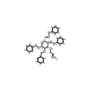 C=CCO[C@@H]1[C@@H](OCc2ccccc2)[C@@H](OCc2ccccc2)O[C@H](COCc2ccccc2)[C@H]1OCc1ccccc1